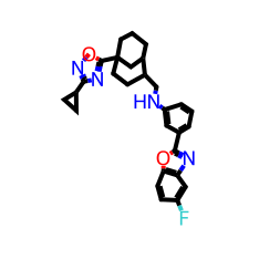 Fc1ccc2oc(-c3cccc(NCC4CCC5(c6nc(C7CC7)no6)CCCC4C5)c3)nc2c1